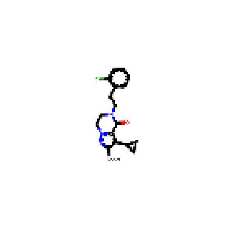 O=C(O)c1nn2c(c1C1CC1)C(=O)N(CCc1ccccc1Cl)CC2